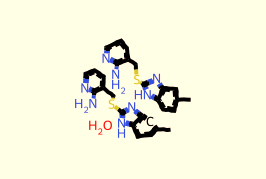 Cc1ccc2[nH]c(SCc3cccnc3N)nc2c1.Cc1ccc2[nH]c(SCc3cccnc3N)nc2c1.O